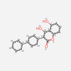 O=c1oc2cccc(O)c2c(O)c1-c1ccc(-c2ccccc2)cc1